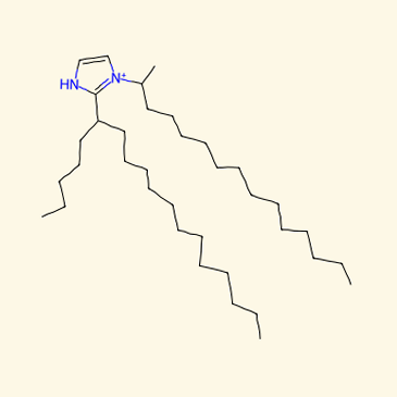 CCCCCCCCCCCCCC(C)[n+]1cc[nH]c1C(CCCCC)CCCCCCCCCCCC